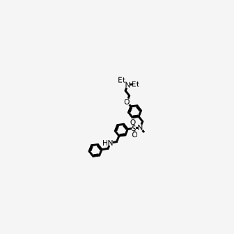 CCN(CC)CCOc1ccc(CN(C)S(=O)(=O)c2cccc(CNCc3ccccc3)c2)cc1